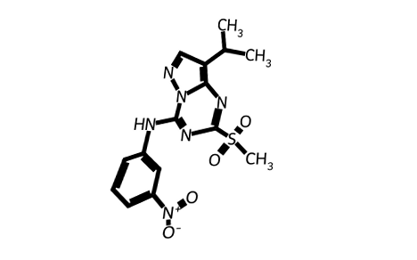 CC(C)c1cnn2c(Nc3cccc([N+](=O)[O-])c3)nc(S(C)(=O)=O)nc12